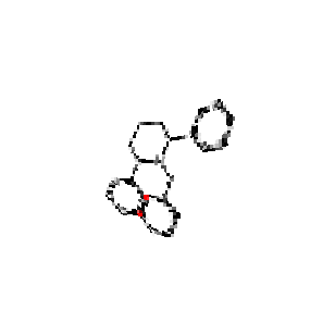 c1ccc(CN2C(c3ccccc3)CCCC2c2ccccc2)cc1